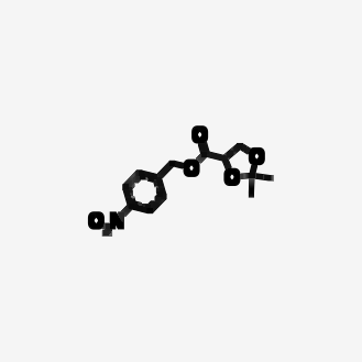 CC1(C)OCC(C(=O)OCc2ccc([N+](=O)[O-])cc2)O1